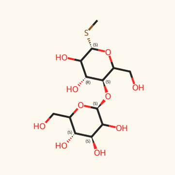 CS[C@@H]1OC(CO)[C@@H](O[C@@H]2OC(CO)[C@@H](O)[C@H](O)C2O)[C@H](O)C1O